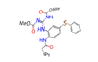 COC(=O)N=C(NC(=O)OC)Nc1cc(Sc2ccccc2)ccc1NC(=O)CC(C)C